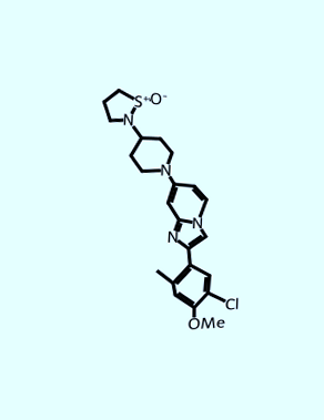 COc1cc(C)c(-c2cn3ccc(N4CCC(N5CCC[S+]5[O-])CC4)cc3n2)cc1Cl